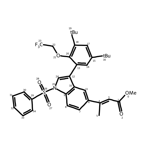 COC(=O)C=C(C)c1ccc2c(c1)c(-c1cc(C(C)(C)C)cc(C(C)(C)C)c1OCC(F)(F)F)cn2S(=O)(=O)c1ccccc1